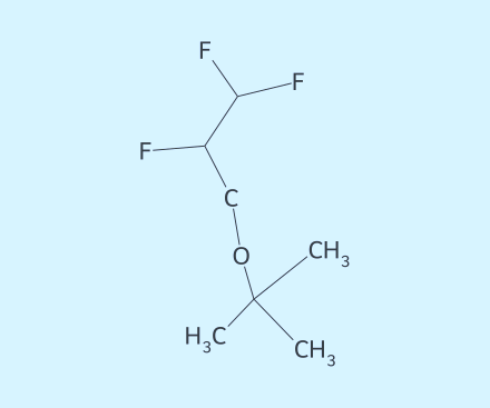 CC(C)(C)OCC(F)C(F)F